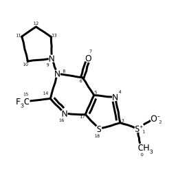 C[S+]([O-])c1nc2c(=O)n(N3CCCC3)c(C(F)(F)F)nc2s1